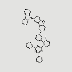 c1ccc(-c2nc(-c3ccccc3)nc(-c3cccc4sc5c(-c6ccc7oc8ccc(-n9c%10ccccc%10c%10ccccc%109)cc8c7c6)cccc5c34)n2)cc1